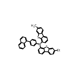 CCc1ccc2c(c1)sc1c(N(c3ccc(-c4cccc5ccccc45)cc3)c3cccc4c3sc3cc(C)ccc34)cccc12